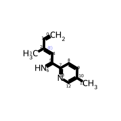 C=C/C(C)=C/C(=N)c1ccc(C)cn1